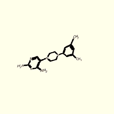 Cc1cc(C)cc(N2CCN(c3cnc(N)nc3N)CC2)c1